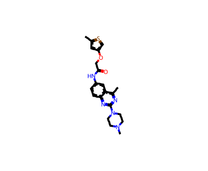 Cc1cc(OCC(=O)Nc2ccc3nc(N4CCN(C)CC4)nc(C)c3c2)cs1